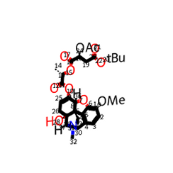 COc1ccc2c3c1O[C@H]1C(OC(=O)[C@H](C)OC(=O)[C@H](CC(=O)OC(C)(C)C)OC(C)=O)=CC[C@@]4(O)[C@@H](C2)N(C)CC[C@]314